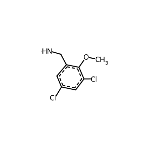 COc1c(Cl)cc(Cl)cc1C[NH]